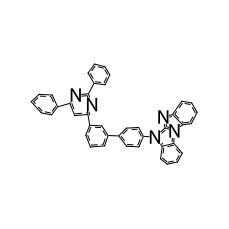 c1ccc(-c2cc(-c3cccc(-c4ccc(-n5c6ccccc6n6c7ccccc7nc56)cc4)c3)nc(-c3ccccc3)n2)cc1